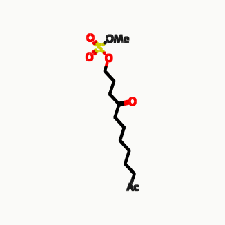 COS(=O)(=O)OCCCC(=O)CCCCCCC(C)=O